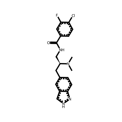 CN(C)[C@H](CNC(=O)c1ccc(Cl)c(F)c1)Cc1ccc2n[nH]cc2c1